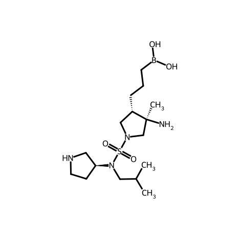 CC(C)CN([C@H]1CCNC1)S(=O)(=O)N1C[C@H](CCCB(O)O)[C@@](C)(N)C1